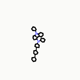 c1ccc(-c2ccc(-c3ccc(N(c4ccccc4)c4cccc5c4c4ccccc4n5-c4ccccc4)cc3)cc2)cc1